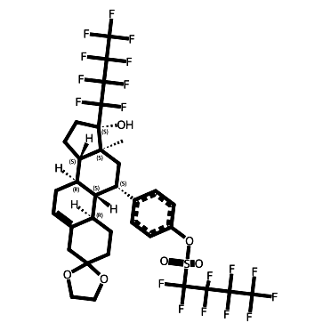 C[C@]12C[C@H](c3ccc(OS(=O)(=O)C(F)(F)C(F)(F)C(F)(F)C(F)(F)F)cc3)[C@H]3[C@@H](CC=C4CC5(CC[C@@H]43)OCCO5)[C@@H]1CC[C@@]2(O)C(F)(F)C(F)(F)C(F)(F)C(F)(F)F